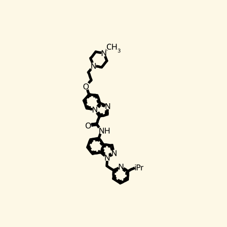 CC(C)c1cccc(Cn2ncc3c(NC(=O)c4cnc5cc(OCCN6CCN(C)CC6)ccn45)cccc32)n1